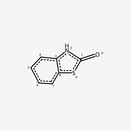 O=c1[nH]c2cc[c]cc2s1